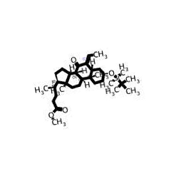 C/C=C1/C(=O)[C@@H]2[C@H](CC[C@]3(C)[C@@H]([C@H](C)CCC(=O)OC)CC[C@@H]23)[C@@]2(C)CC[C@@H](O[Si](C)(C)C(C)(C)C)C[C@@H]12